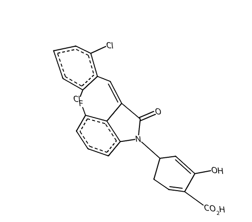 O=C(O)C1=CCC(N2C(=O)/C(=C/c3c(Cl)cccc3Cl)c3c(F)cccc32)C=C1O